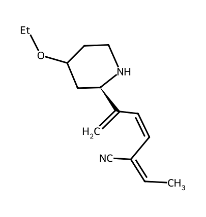 C=C(/C=C\C(C#N)=C/C)[C@H]1CC(OCC)CCN1